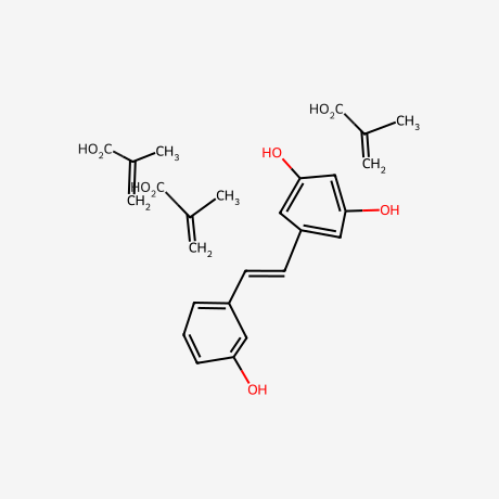 C=C(C)C(=O)O.C=C(C)C(=O)O.C=C(C)C(=O)O.Oc1cccc(C=Cc2cc(O)cc(O)c2)c1